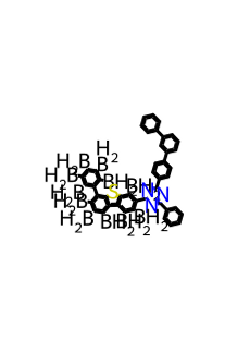 Bc1c(B)c(B)c(-c2c(B)c(B)c(B)c3c2sc2c(B)c(-c4nc(-c5ccccc5)nc(-c5ccc(-c6cccc(-c7ccccc7)c6)cc5)n4)c(B)c(B)c23)c(B)c1B